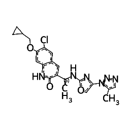 Cc1cnnn1-c1coc(N[C@@H](C)c2cc3cc(Cl)c(OCC4CC4)cc3[nH]c2=O)n1